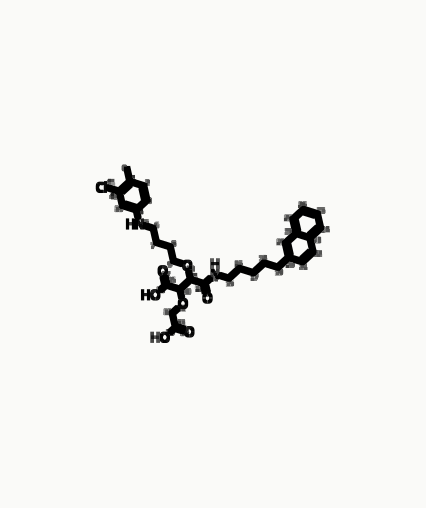 Cc1ccc(NCCCCOC(C(=O)NCCCCCc2ccc3ccccc3c2)C(OCC(=O)O)C(=O)O)cc1Cl